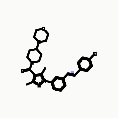 Cc1nn(-c2cccc(/C=C/c3ccc(Cl)cc3)c2)c(C)c1C(=O)N1CCC(N2CCOCC2)CC1